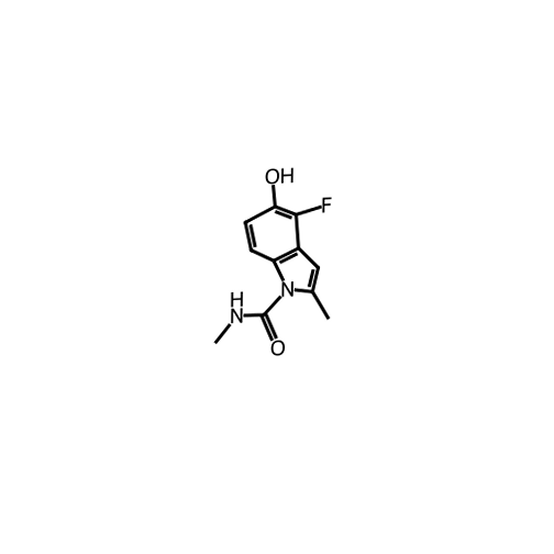 CNC(=O)n1c(C)cc2c(F)c(O)ccc21